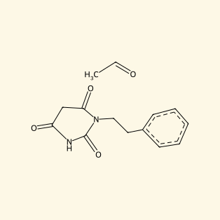 CC=O.O=C1CC(=O)N(CCc2ccccc2)C(=O)N1